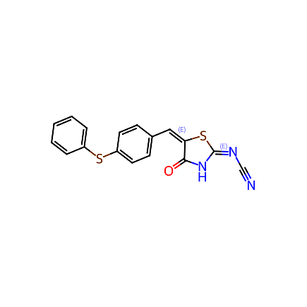 N#C/N=C1\NC(=O)/C(=C\c2ccc(Sc3ccccc3)cc2)S1